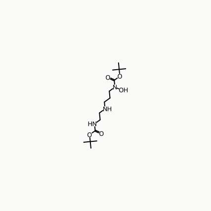 CC(C)(C)OC(=O)NCCNCCCN(O)C(=O)OC(C)(C)C